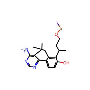 CC(CCOSI)c1c(O)ccc2c1CC(C)(C)c1c(N)ncnc1-2